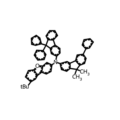 CC(C)(C)c1ccc2oc3cc(N(c4ccc5c(c4)-c4cc(-c6ccccc6)ccc4C5(C)C)c4ccc5c(c4)C(c4ccccc4)(c4ccccc4)c4ccccc4-5)ccc3c2c1